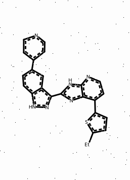 CCc1ccc(-c2ccnc3[nH]c(-c4n[nH]c5ccc(-c6ccncc6)cc45)nc23)s1